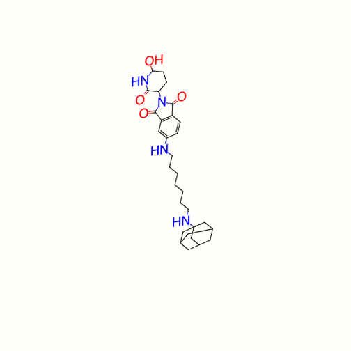 O=C1NC(O)CCC1N1C(=O)c2ccc(NCCCCCCCNC34CC5CC(CC(C5)C3)C4)cc2C1=O